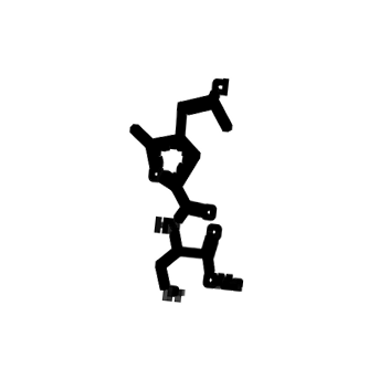 COC(=O)C(CC(C)C)NC(=O)c1cc(/C=C(\C)Cl)c(C)o1